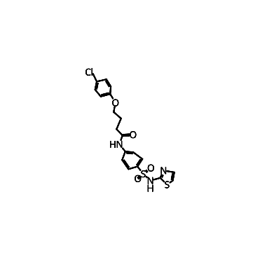 O=C(CCCOc1ccc(Cl)cc1)Nc1ccc(S(=O)(=O)Nc2nccs2)cc1